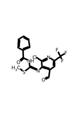 CS/C(=N/c1c(C=O)cc(C(F)(F)F)nc1Cl)NC(=O)c1ccccc1